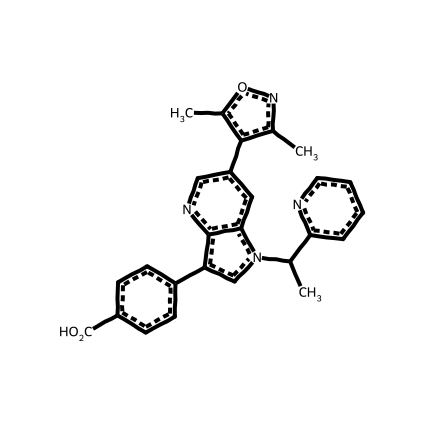 Cc1noc(C)c1-c1cnc2c(-c3ccc(C(=O)O)cc3)cn(C(C)c3ccccn3)c2c1